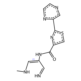 CN/C=C(\C=N)NC(=O)c1csc(-c2cnccn2)n1